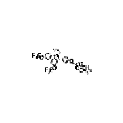 CC1(C)OCC(COc2ccc(CN3CC[CH]CC3(c3ccc(OC(F)(F)F)cc3)c3ccc(OC(F)(F)F)cc3)cc2)O1